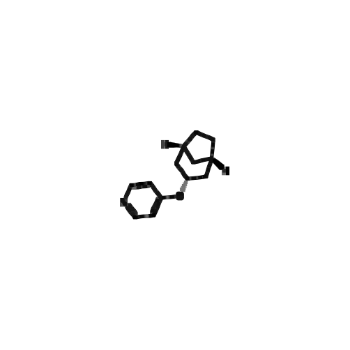 c1cc(O[C@@H]2C[C@@H]3CC[C@@H](C3)C2)ccn1